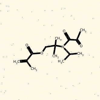 C=C(C)C(=O)OCC(C)(C)N(C(=O)C(C)=O)C(C)C